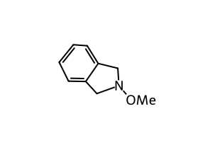 CON1Cc2ccccc2C1